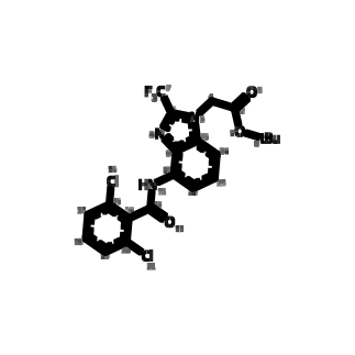 CC(C)(C)OC(=O)Cn1c(C(F)(F)F)nc2c(NC(=O)c3c(Cl)cccc3Cl)cccc21